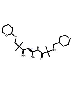 CC(C)(COC1CCCCO1)C(=N)/C=C(\O)NC(=O)C(C)(C)NCC1CCOCC1